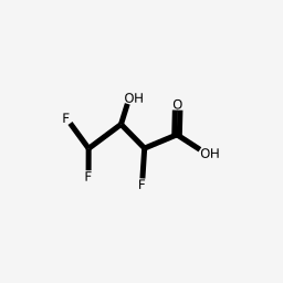 O=C(O)C(F)C(O)C(F)F